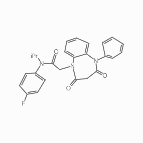 CC(C)N(C(=O)CN1C(=O)CC(=O)N(c2ccccc2)c2ccccc21)c1ccc(F)cc1